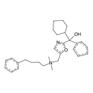 C[N+](C)(CCCCc1ccccc1)Cc1cnc(C(O)(c2ccccc2)C2CCCCC2)o1